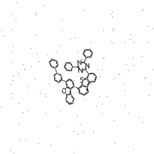 c1ccc(-c2cccc(-c3ccc(-c4cccc5c4sc4c(-c6nc(-c7ccccc7)nc(-c7ccccc7)n6)cccc45)c4c3oc3ccccc34)c2)cc1